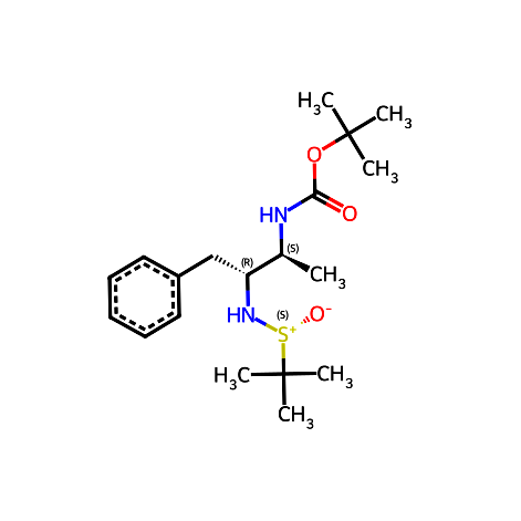 C[C@H](NC(=O)OC(C)(C)C)[C@@H](Cc1ccccc1)N[S@+]([O-])C(C)(C)C